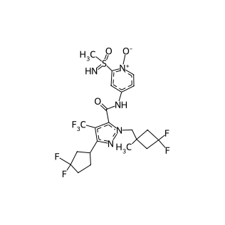 CC1(Cn2nc(C3CCC(F)(F)C3)c(C(F)(F)F)c2C(=O)Nc2cc[n+]([O-])c(S(C)(=N)=O)c2)CC(F)(F)C1